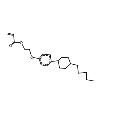 C=CC(=O)OCCOc1ccc(C2CCC(CCCCC)CC2)cc1